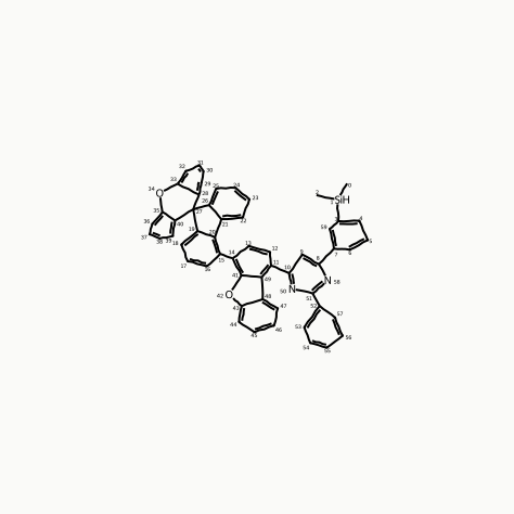 C[SiH](C)c1cccc(-c2cc(-c3ccc(-c4cccc5c4-c4ccccc4C54c5ccccc5Oc5ccccc54)c4oc5ccccc5c34)nc(-c3ccccc3)n2)c1